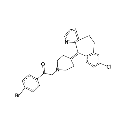 O=C(CN1CCC(=C2c3ccc(Cl)cc3CCc3cccnc32)CC1)c1ccc(Br)cc1